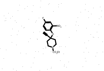 C#CC1(Oc2ccc(F)cc2[N+](=O)[O-])CCN(C(=O)OCC)CC1